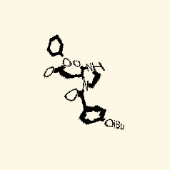 CC(C)COc1ccc(C(=O)N2CCNC(=O)C2CC(=O)OC2CCCCC2)cc1